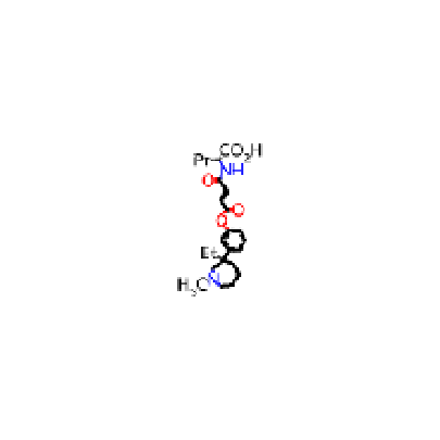 CCC1(c2cccc(OC(=O)/C=C/C(=O)NC(C(=O)O)C(C)C)c2)CCCCN(C)C1